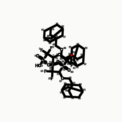 O=S(=O)(O)C(F)(F)C(OCC12CC3CC(CC(C3)C1)C2)S(=O)(=O)C(F)(F)C(OCC12CC3CC(CC(C3)C1)C2)S(=O)(=O)C(F)(F)COCC12CC3CC(CC(C3)C1)C2